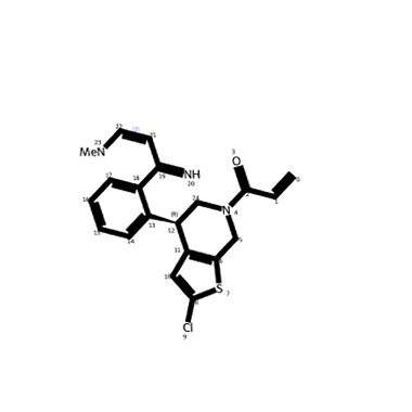 C=CC(=O)N1Cc2sc(Cl)cc2[C@@H](c2ccccc2C(=N)/C=C\NC)C1